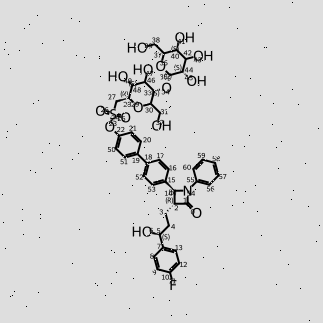 O=C1[C@H](CC[C@H](O)c2ccc(F)cc2)[C@@H](c2ccc(-c3ccc(OS(=O)(=O)C[C@@H]4OC(CO)[C@@H](O[C@@H]5OC(CO)[C@@H](O)C(O)[C@@H]5O)C(O)[C@@H]4O)cc3)cc2)N1c1ccccc1